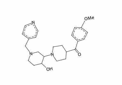 COc1ccc(C(=O)C2CCN(C3CN(Cc4ccncc4)CCC3O)CC2)cc1